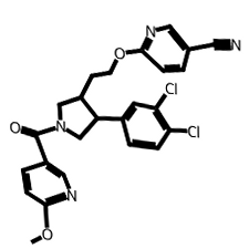 COc1ccc(C(=O)N2CC(CCOc3ccc(C#N)cn3)C(c3ccc(Cl)c(Cl)c3)C2)cn1